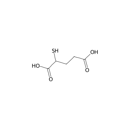 O=C(O)CCC(S)C(=O)O